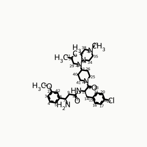 COc1cccc([C@H](N)CC(=O)N[C@H](Cc2ccc(Cl)cc2)C(=O)N2CCC(N(CC(C)C)N3CCN(C)CC3)CC2)c1